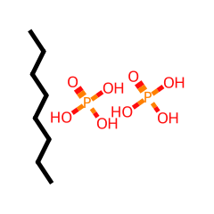 CCCCCCCC.O=P(O)(O)O.O=P(O)(O)O